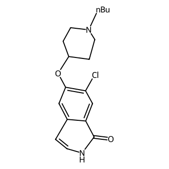 CCCCN1CCC(Oc2cc3cc[nH]c(=O)c3cc2Cl)CC1